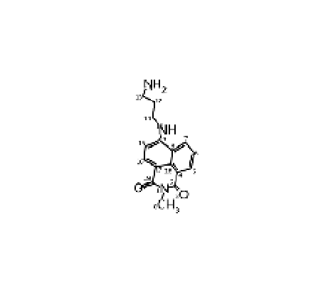 CN1C(=O)c2cccc3c(NCCCN)ccc(c23)C1=O